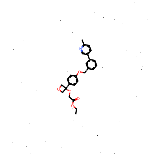 CCOC(=O)COC1(c2ccc(OCc3cccc(-c4ccc(C)nc4)c3)cc2)COC1